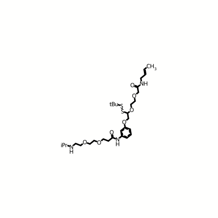 C/C=C/CNC(=O)COCCOC(COc1cccc(NC(=O)CCOCCOCCNC(C)C)c1)SSC(C)(C)C